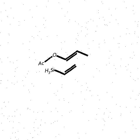 C=C[SiH3].CC=COC(C)=O